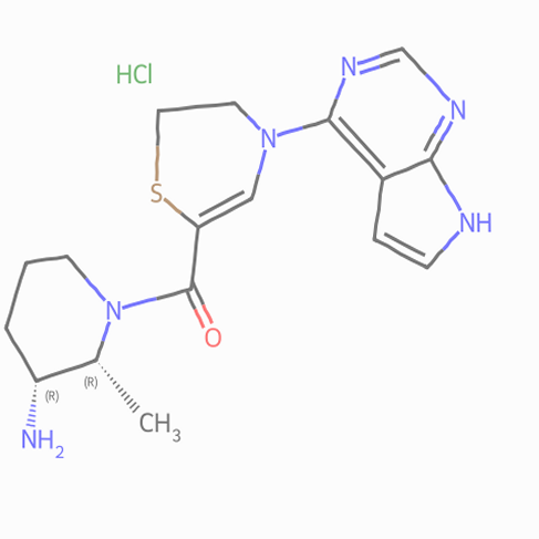 C[C@@H]1[C@H](N)CCCN1C(=O)C1=CN(c2ncnc3[nH]ccc23)CCS1.Cl